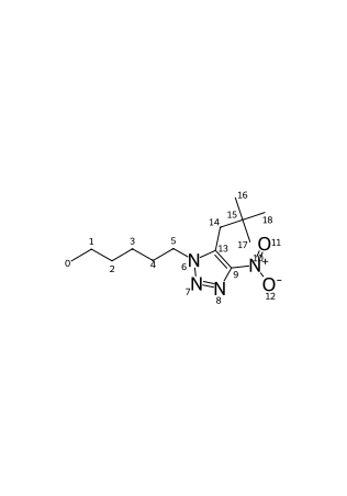 CCCCCCn1nnc([N+](=O)[O-])c1CC(C)(C)C